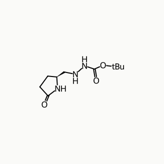 CC(C)(C)OC(=O)NNC[C@@H]1CCC(=O)N1